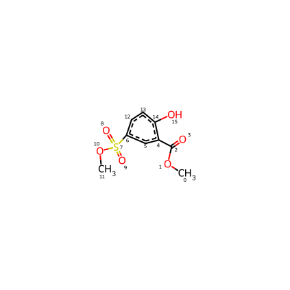 COC(=O)c1cc(S(=O)(=O)OC)ccc1O